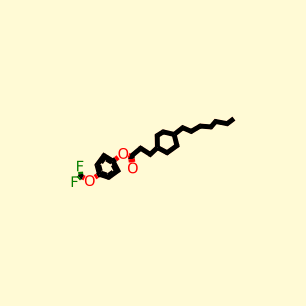 CCCCCCCC1CCC(CCC(=O)Oc2ccc(OC(F)F)cc2)CC1